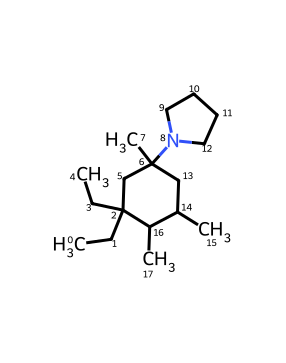 CCC1(CC)CC(C)(N2CCCC2)CC(C)C1C